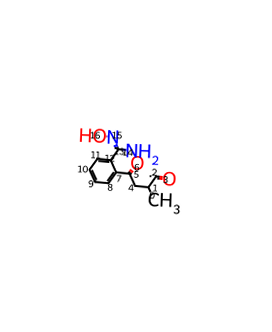 CC([C]=O)CC(=O)c1ccccc1/C(N)=N\O